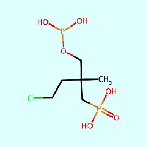 CC(CCCl)(COP(O)O)CP(=O)(O)O